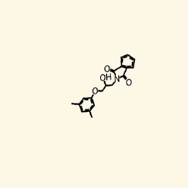 Cc1cc(C)cc(OCC(O)CN2C(=O)c3ccccc3C2=O)c1